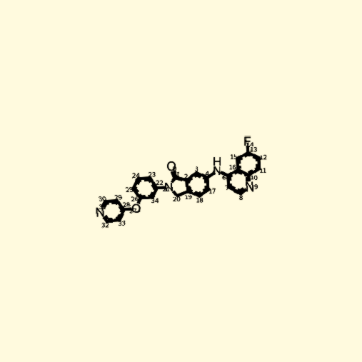 O=C1c2cc(Nc3ccnc4ccc(F)cc34)ccc2CN1c1cccc(Oc2ccncc2)c1